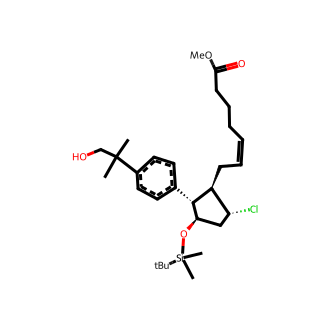 COC(=O)CCC/C=C\C[C@@H]1[C@@H](c2ccc(C(C)(C)CO)cc2)[C@H](O[Si](C)(C)C(C)(C)C)C[C@H]1Cl